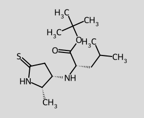 CC(C)C[C@H](N[C@H]1CC(=S)N[C@H]1C)C(=O)OC(C)(C)C